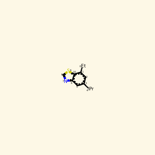 CCc1cc(C(C)C)cc2ncsc12